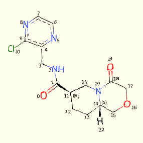 O=C(NCc1nccnc1Cl)[C@@H]1CC[C@H]2COCC(=O)N2C1